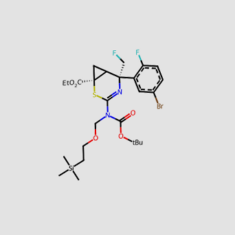 CCOC(=O)[C@]12CC1[C@@](CF)(c1cc(Br)ccc1F)N=C(N(COCC[Si](C)(C)C)C(=O)OC(C)(C)C)S2